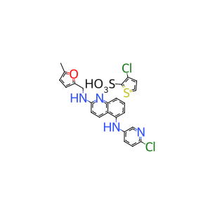 Cc1ccc(CNc2ccc3c(Nc4ccc(Cl)nc4)cccc3n2)o1.O=S(=O)(O)c1sccc1Cl